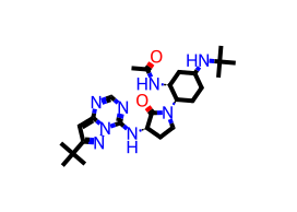 CC(=O)N[C@@H]1CC(NC(C)(C)C)CC[C@@H]1N1CC[C@H](Nc2ncnc3cc(C(C)(C)C)nn23)C1=O